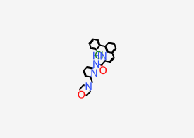 O=C(Nc1cccc(CN2CCOCC2)n1)c1ccc2cccc(-c3ccccc3Cl)c2n1